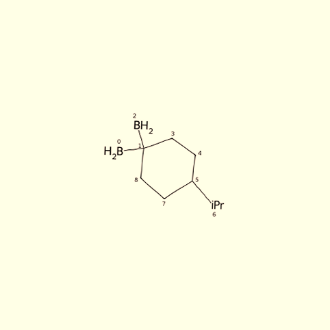 BC1(B)CCC(C(C)C)CC1